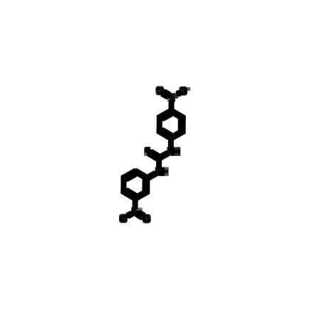 O=[N+]([O-])c1ccc(NC(=S)Nc2cccc([N+](=O)[O-])c2)cc1